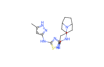 Cc1cc(Nc2nc(NC3CC4CCC(C3)N4CCC#N)ns2)n[nH]1